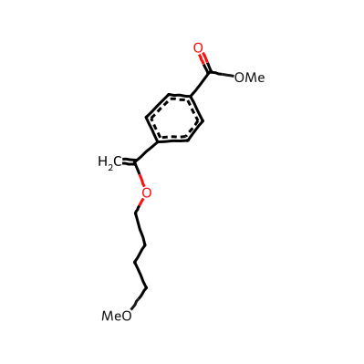 C=C(OCCCCOC)c1ccc(C(=O)OC)cc1